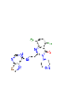 O=c1c2c(Cl)ccc(Cl)c2nc(CCNc2ncnc3scnc23)n1N1CCNCC1